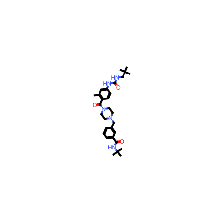 Cc1cc(NC(=O)NCC(C)(C)C)ccc1C(=O)N1CCN(Cc2cccc(C(=O)NC(C)(C)C)c2)CC1